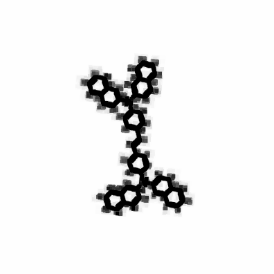 C1=CC2=CC(N(c3ccc(/C=C/c4ccc(N(c5ccc6ccccc6c5)c5ccc6ccccc6c5)cc4)cc3)c3ccc4ccccc4c3)=CCC2C=C1